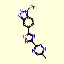 Cc1cnc(-c2noc(-c3ccc4c(c3)nnn4C(C)C)n2)cn1